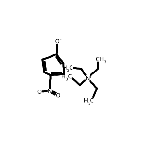 CC[N+](CC)(CC)CC.O=[N+]([O-])c1ccc([O-])cc1